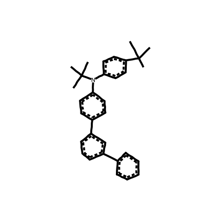 CC(C)(C)c1ccc(N(c2ccc(-c3cccc(-c4ccccc4)c3)cc2)C(C)(C)C)cc1